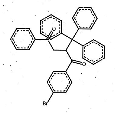 O=C(CC(C(=O)c1ccc(Br)cc1)C(c1ccccc1)(c1ccccc1)c1ccccc1)c1ccccc1